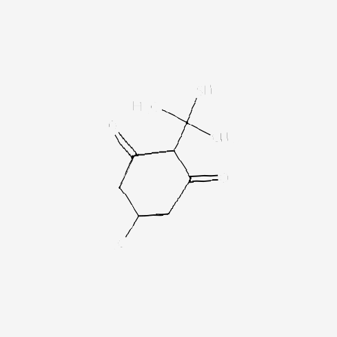 CC1CC(=O)C(C(C)(C)S)C(=O)C1